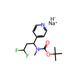 CN(C(=O)OC(C)(C)C)C(CC(F)F)c1ccncc1.[H-].[Na+]